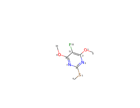 COc1nc(SC)nc(OC)c1F